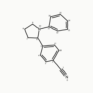 N#Cc1ccc(C2CCCN2c2ccccc2)cc1